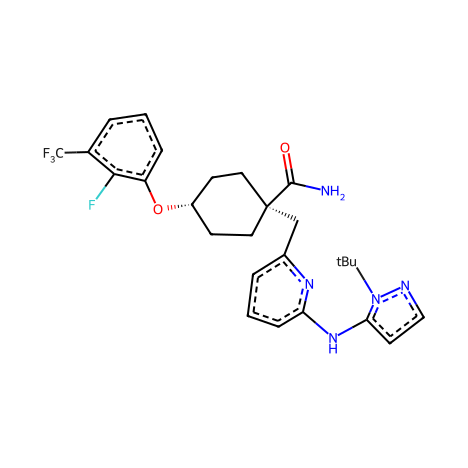 CC(C)(C)n1nccc1Nc1cccc(C[C@]2(C(N)=O)CC[C@H](Oc3cccc(C(F)(F)F)c3F)CC2)n1